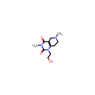 CN1CCc2c(c(=O)n(C)c(=O)n2CCO)C1